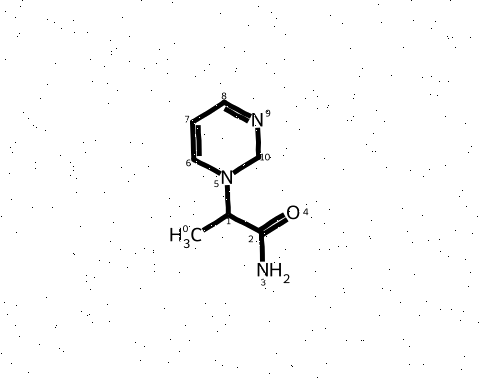 CC(C(N)=O)N1C=CC=NC1